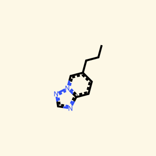 CCCc1ccc2ncnn2c1